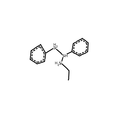 CC[SiH2][SiH]([SiH2]c1ccccc1)c1ccccc1